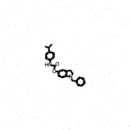 CC(C)c1ccc(NC(=O)Oc2ccc3c(c2)CCN3Cc2ccccc2)cc1